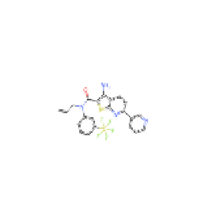 C=CCN(C(=O)c1sc2nc(-c3cccnc3)ccc2c1N)c1cccc(S(F)(F)(F)(F)F)c1